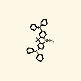 CC1(C)c2cc(N(c3ccccc3)c3ccccc3)ccc2N(N)c2ccc(N(c3ccccc3)c3ccccc3)cc21